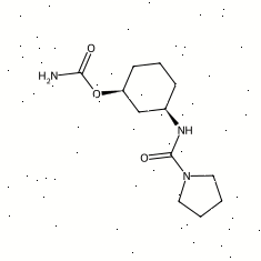 NC(=O)O[C@H]1CCC[C@@H](NC(=O)N2CCCC2)C1